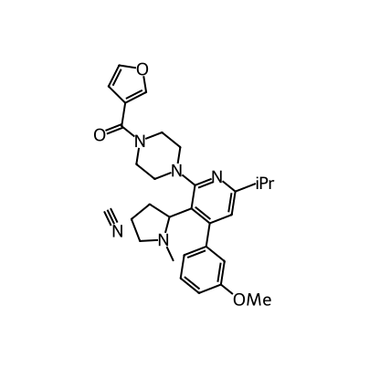 C#N.COc1cccc(-c2cc(C(C)C)nc(N3CCN(C(=O)c4ccoc4)CC3)c2C2CCCN2C)c1